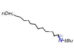 CCCCCCCCCCCCCCCCCCCCC/C=N/C(C)(C)C